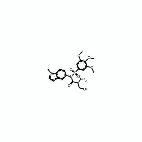 COc1cc(S(=O)(=O)N(C(=O)[C@@H](N)CO)c2ccc3c(ccn3C)c2)cc(OC)c1OC